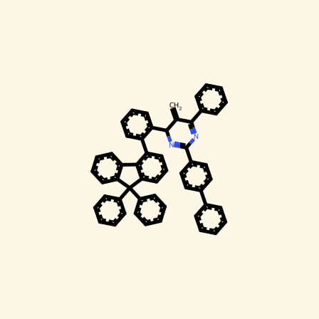 C=C1C(c2ccccc2)=NC(c2ccc(-c3ccccc3)cc2)=NC1c1ccccc1-c1cccc2c1-c1ccccc1C2(c1ccccc1)c1ccccc1